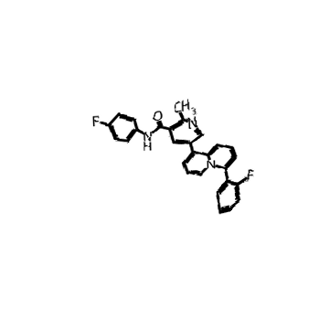 Cc1ncc(C2=CC=CN3C(c4ccccc4F)=C=CC=C23)cc1C(=O)Nc1ccc(F)cc1